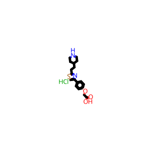 Cl.O=C(O)COc1ccc(-c2csc(CCC3CCNCC3)n2)cc1